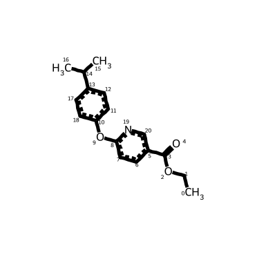 CCOC(=O)c1ccc(Oc2ccc(C(C)C)cc2)nc1